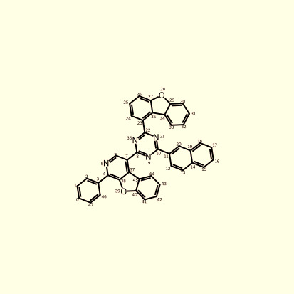 c1ccc(-c2ncc(-c3nc(-c4ccc5ccccc5c4)nc(-c4cccc5oc6ccccc6c45)n3)c3c2oc2ccccc23)cc1